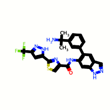 CC(C)(N)c1cccc(-c2cc3cn[nH]c3cc2NC(=O)c2csc(-c3cc(C(F)(F)F)n[nH]3)n2)c1